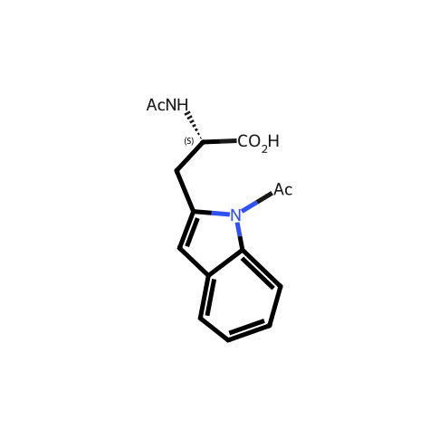 CC(=O)N[C@@H](Cc1cc2ccccc2n1C(C)=O)C(=O)O